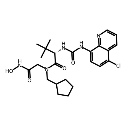 CC(C)(C)[C@H](NC(=O)Nc1ccc(Cl)c2cccnc12)C(=O)N(CC(=O)NO)CC1CCCC1